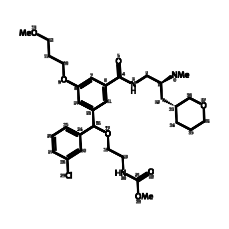 CN[C@H](CNC(=O)c1cc(OCCCOC)cc(C(OCCNC(=O)OC)c2cccc(Cl)c2)c1)C[C@H]1CCCOC1